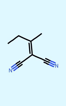 CCC(C)=C(C#N)C#N